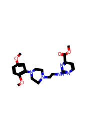 COC(=O)c1ccnc(NCCN2CCN(c3cc(OC)ccc3OC)CC2)n1